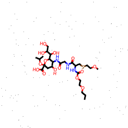 CCCOCCOC(=O)NC(CSCCOC)C(=O)NCC(=O)NC1C(O)CC(OC(C)C)(C(=O)O)OC1C(O)C(O)CO